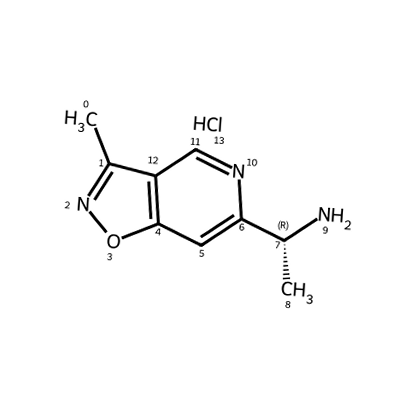 Cc1noc2cc([C@@H](C)N)ncc12.Cl